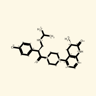 CC(C)NC[C@@H](C(=O)N1CCN(c2ncnc3c2C[C@H](C)C(=O)N3)CC1)c1ccc(Cl)cc1